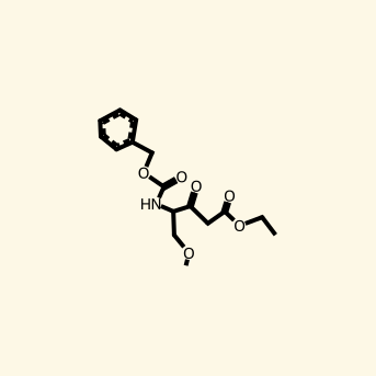 CCOC(=O)CC(=O)C(COC)NC(=O)OCc1ccccc1